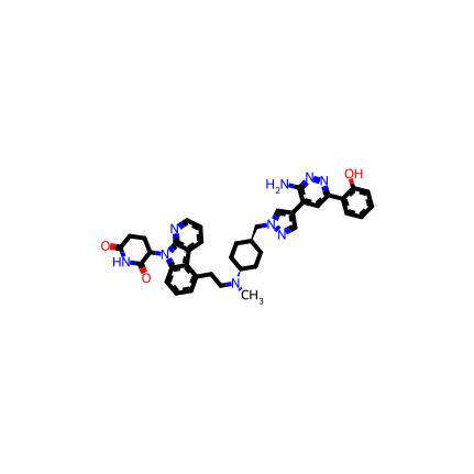 CN(CCc1cccc2c1c1cccnc1n2C1CCC(=O)NC1=O)[C@H]1CC[C@H](Cn2cc(-c3cc(-c4ccccc4O)nnc3N)cn2)CC1